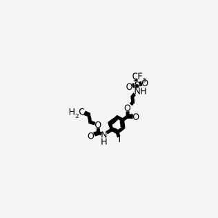 C=CCOC(=O)Nc1ccc(C(=O)OCCNS(=O)(=O)C(F)(F)F)cc1I